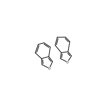 c1ccc2cocc2c1.c1ccc2cocc2c1